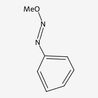 CO/N=N/c1ccccc1